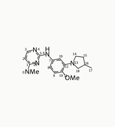 CNc1ccnc(Nc2ccc(OC)c(N3CCC(C)C3)c2)n1